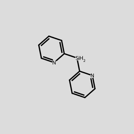 c1ccc([SiH2]c2ccccn2)nc1